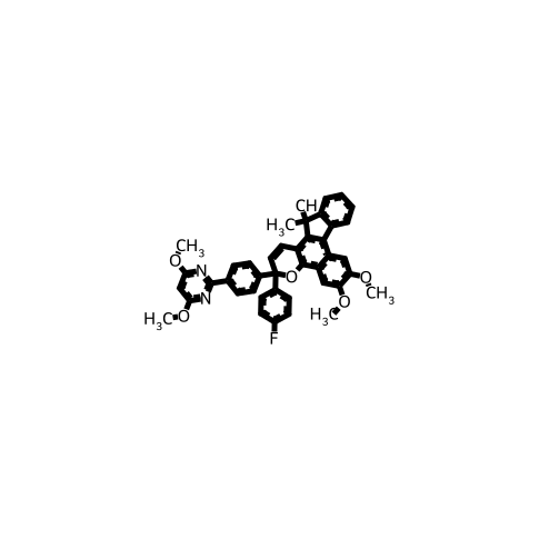 COc1cc(OC)nc(-c2ccc(C3(c4ccc(F)cc4)C=Cc4c5c(c6cc(OC)c(OC)cc6c4O3)-c3ccccc3C5(C)C)cc2)n1